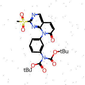 CC(C)(C)OC(=O)N(C(=O)OC(C)(C)C)c1cccc(-n2c(=O)ccc3cnc(S(C)(=O)=O)nc32)c1